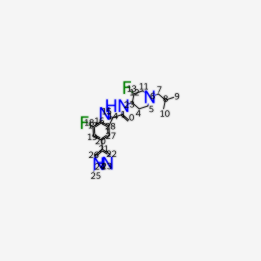 C=C(NC1CCN(CC(C)C)C[C@@H]1F)C1=Nc2c(F)cc(-c3cnn(C)c3)cc21